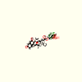 CCC(=O)C[C@H]1[C@H]([C@@H]2CC[C@H]([C@H](C)CCC(=O)OCCC(F)(F)C(F)(F)S(=O)(=O)O)C2)C(=O)CC2CC(=O)CC[C@@]21C